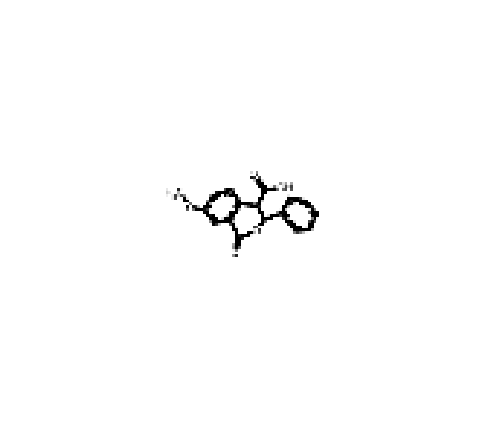 COc1ccc2c(c1)C(=O)OC(c1ccccc1)C2C(=O)O